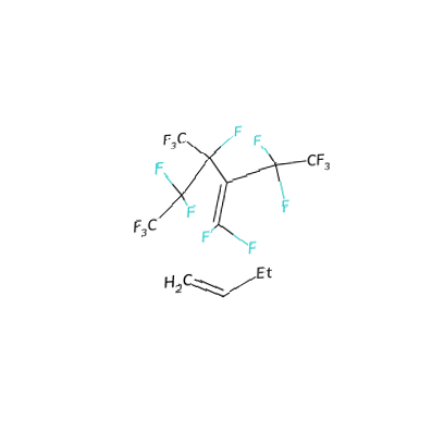 C=CCC.FC(F)=C(C(F)(F)C(F)(F)F)C(F)(C(F)(F)F)C(F)(F)C(F)(F)F